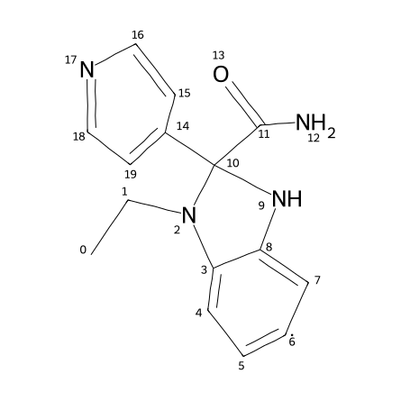 CCN1c2cc[c]cc2NC1(C(N)=O)c1ccncc1